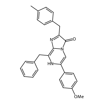 COc1ccc(-c2cn3c(=O)c(Cc4ccc(C)cc4)nc-3c(Cc3ccccc3)[nH]2)cc1